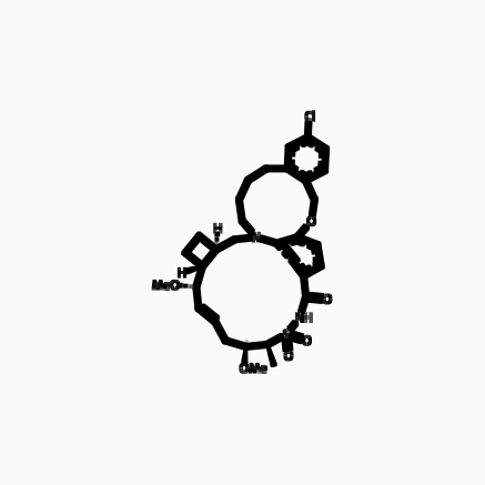 CO[C@H]1/C=C/C[C@H](OC)[C@H](C)S(=O)(=O)NC(=O)c2ccc3c(c2)N(CCCCc2cc(Cl)ccc2CO3)C[C@@H]2CC[C@H]21